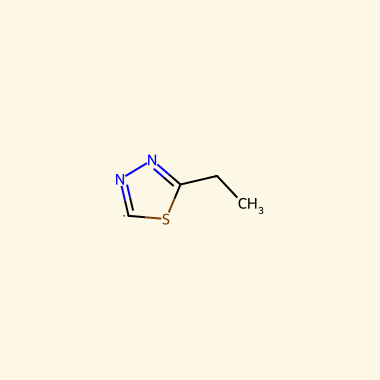 CCc1nn[c]s1